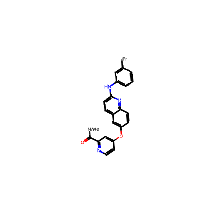 CNC(=O)c1cc(Oc2ccc3nc(Nc4cccc(C(C)C)c4)ccc3c2)ccn1